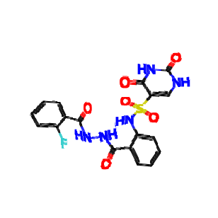 O=C(NNC(=O)c1ccccc1NS(=O)(=O)c1c[nH]c(=O)[nH]c1=O)c1ccccc1F